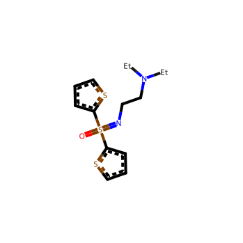 CCN(CC)CCN=S(=O)(c1cccs1)c1cccs1